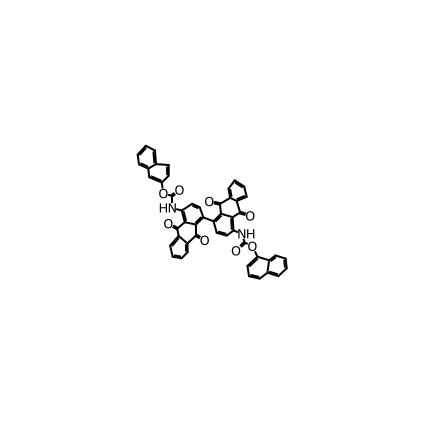 O=C(Nc1ccc(-c2ccc(NC(=O)Oc3cccc4ccccc34)c3c2C(=O)c2ccccc2C3=O)c2c1C(=O)c1ccccc1C2=O)Oc1ccc2ccccc2c1